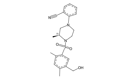 Cc1cc(C)c(S(=O)(=O)N2CCN(c3ccccc3C#N)C[C@@H]2C)cc1CO